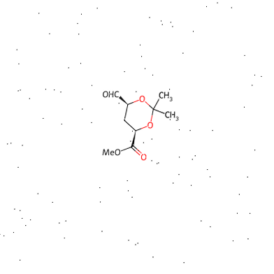 COC(=O)[C@H]1C[C@@H](C=O)OC(C)(C)O1